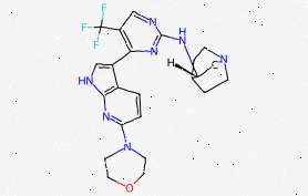 FC(F)(F)c1cnc(N[C@@H]2CN3CCC2CC3)nc1-c1c[nH]c2nc(N3CCOCC3)ccc12